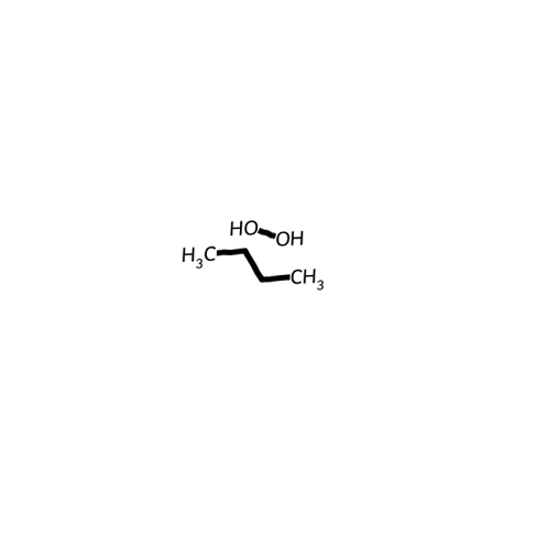 CCCC.OO